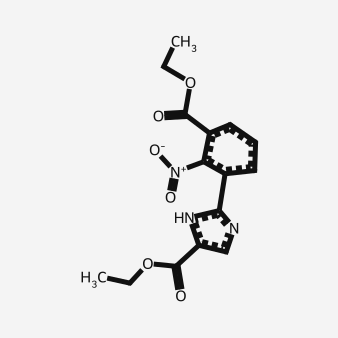 CCOC(=O)c1cnc(-c2cccc(C(=O)OCC)c2[N+](=O)[O-])[nH]1